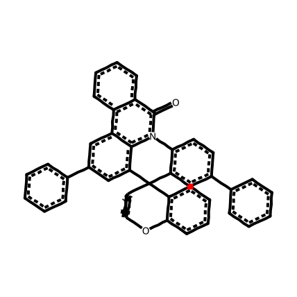 O=c1c2ccccc2c2cc(-c3ccccc3)cc3c2n1-c1ccc(-c2ccccc2)cc1C31c2ccccc2Oc2ccccc21